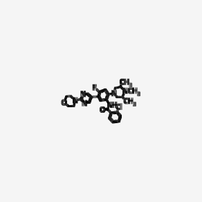 CC1CN(c2cc(F)c(-c3cnc(N4CCOCC4)nc3)cc2NC(=O)c2ccccc2Cl)CC(C)N1C